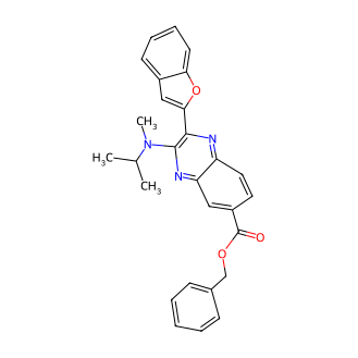 CC(C)N(C)c1nc2cc(C(=O)OCc3ccccc3)ccc2nc1-c1cc2ccccc2o1